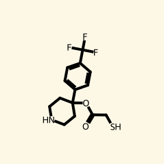 O=C(CS)OC1(c2ccc(C(F)(F)F)cc2)CCNCC1